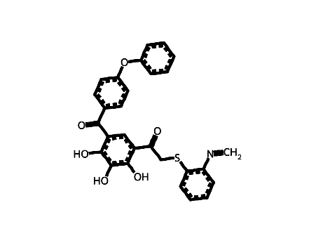 C=Nc1ccccc1SCC(=O)c1cc(C(=O)c2ccc(Oc3ccccc3)cc2)c(O)c(O)c1O